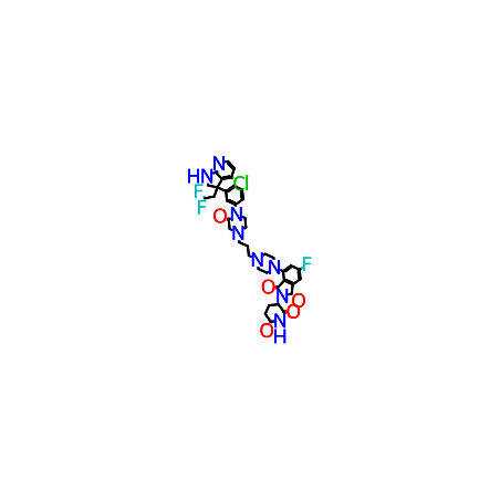 O=C1CCC(N2C(=O)c3cc(F)cc(N4CCN(CCCN5CCN(c6cccc(C7(CC(F)F)CNc8nccc(Cl)c87)c6)C(=O)C5)CC4)c3C2=O)C(=O)N1